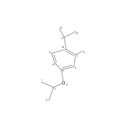 Cc1cc(OC(C)C)ccc1C(C)C